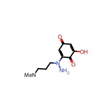 CNCCCN(N)C1=CC(=O)C=C(O)C1=O